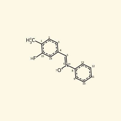 Cc1ccc(C=[N+]([O-])c2ccccc2)cc1F